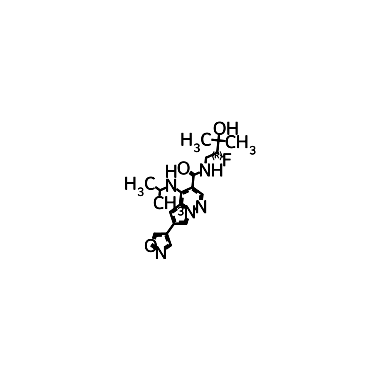 CC(C)Nc1c(C(=O)NC[C@@H](F)C(C)(C)O)cnn2cc(-c3cnoc3)cc12